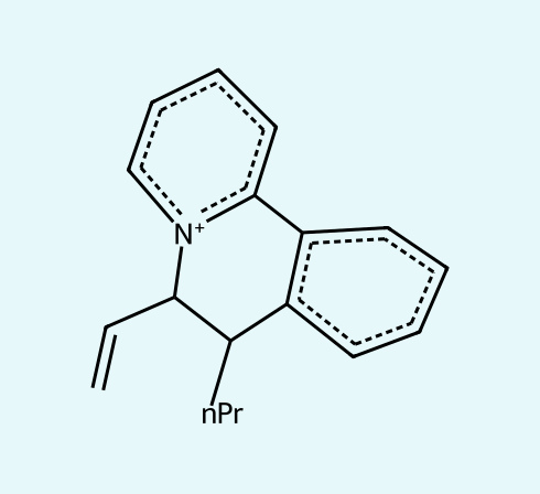 C=CC1C(CCC)c2ccccc2-c2cccc[n+]21